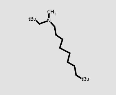 CN(CCCCCCCCC(C)(C)C)CC(C)(C)C